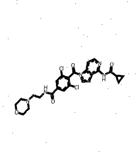 O=C(NCCN1CCOCC1)c1cc(Cl)c(C(=O)n2ccc3c(NC(=O)C4CC4)nccc32)c(Cl)c1